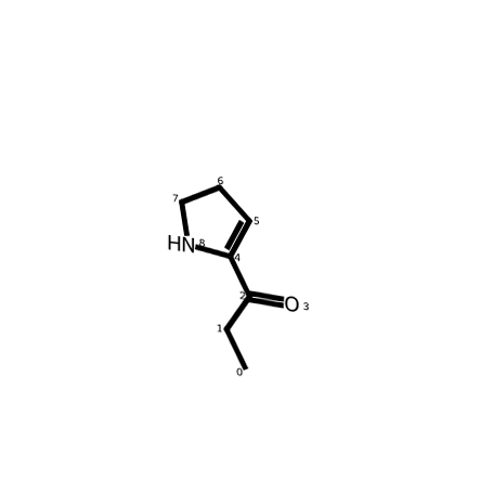 CCC(=O)C1=CCCN1